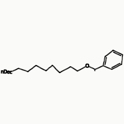 CCCCCCCCCCCCCCCCCCO[CH]c1ccccc1